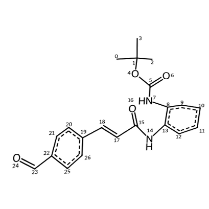 CC(C)(C)OC(=O)Nc1ccccc1NC(=O)C=Cc1ccc(C=O)cc1